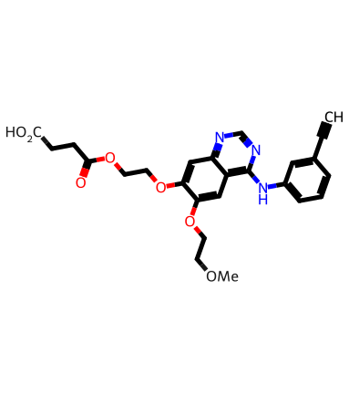 C#Cc1cccc(Nc2ncnc3cc(OCCOC(=O)CCC(=O)O)c(OCCOC)cc23)c1